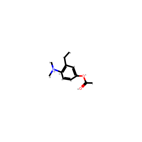 CCc1cc(OC(C)=O)ccc1N(C)C